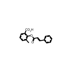 Cc1cccc(C(=O)O)c1OC(=O)C=Cc1ccccc1